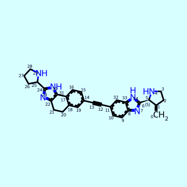 C=C1CCN[C@@H]1c1nc2ccc(C#Cc3ccc4c(c3)CCc3nc(C5CCCN5)[nH]c3-4)cc2[nH]1